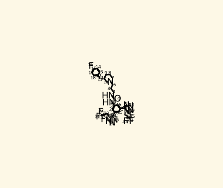 O=C(NCCCN1CCC[C@@H](Cc2ccc(F)cc2)C1)Nc1cc(-c2nnnn2CC(F)(F)F)cc(-c2nnnn2CC(F)(F)F)c1